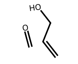 C=CCO.C=O